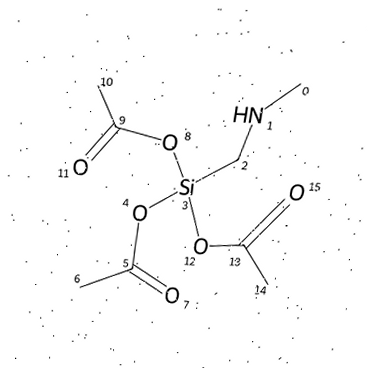 CNC[Si](OC(C)=O)(OC(C)=O)OC(C)=O